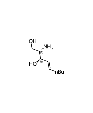 CCCCC=C[C@@H](O)[C@@H](N)CO